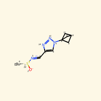 CC(C)(C)[S@@+]([O-])/N=C/c1cn(C23CC(C2)C3)nn1